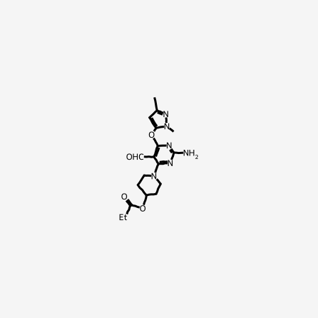 CCC(=O)OC1CCN(c2nc(N)nc(Oc3cc(C)nn3C)c2C=O)CC1